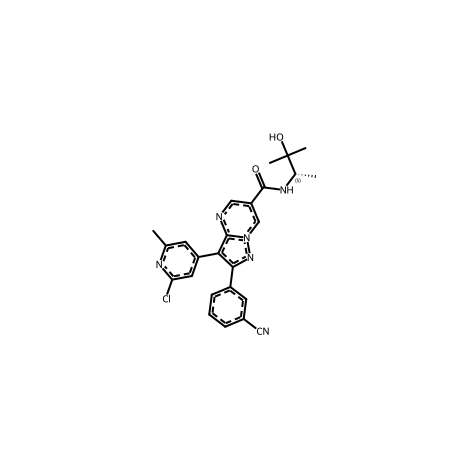 Cc1cc(-c2c(-c3cccc(C#N)c3)nn3cc(C(=O)N[C@@H](C)C(C)(C)O)cnc23)cc(Cl)n1